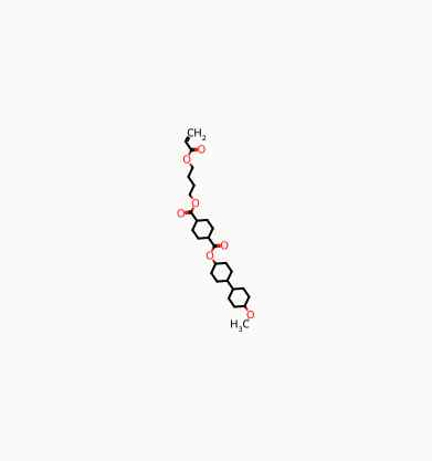 C=CC(=O)OCCCCOC(=O)C1CCC(C(=O)OC2CCC(C3CCC(OC)CC3)CC2)CC1